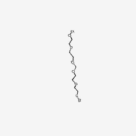 CCOCCOCCOCOCCOCCOCC